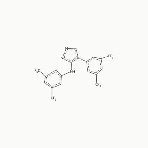 FC(F)(F)c1cc(Nc2nncn2-c2cc(C(F)(F)F)cc(C(F)(F)F)c2)cc(C(F)(F)F)c1